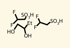 CCC(O)CO.O=S(=O)(O)CC(F)F.O=S(=O)(O)CC(F)F